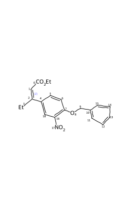 CCOC(=O)/C=C(/CC)c1ccc(OCc2ccccc2)c([N+](=O)[O-])c1